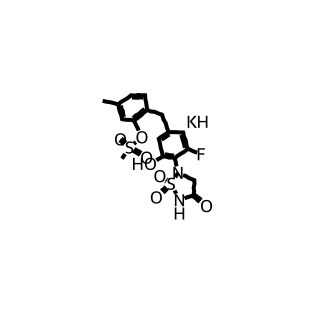 Cc1ccc(Cc2cc(O)c(N3CC(=O)NS3(=O)=O)c(F)c2)c(OS(C)(=O)=O)c1.[KH]